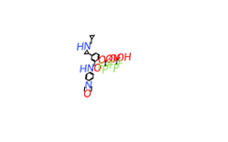 O=C(Nc1ccc(N2CCOCC2)cc1)c1cccc(C2CC2NCC2CC2)c1.O=C(O)C(F)(F)F.O=C(O)C(F)(F)F